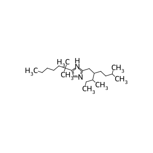 CCCCCC(C)(C)c1cnc(CC(CCC(C)C)C(C)CC)[nH]1